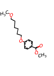 COCCCCCCOc1ccc(C(=O)OC)cc1